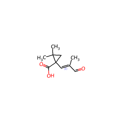 C/C(C=O)=C\C1(C(=O)O)CC1(C)C